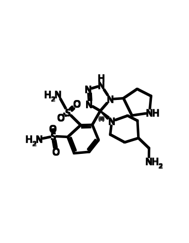 NCC1CCN([C@@]2(c3cccc(S(N)(=O)=O)c3S(N)(=O)=O)N=NNN2C2CCNC2)CC1